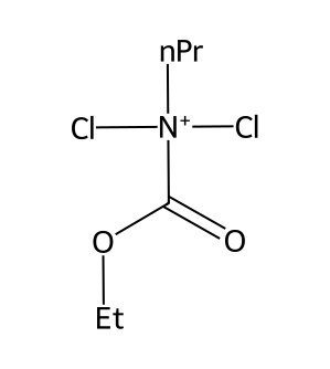 CCC[N+](Cl)(Cl)C(=O)OCC